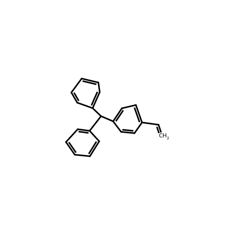 C=Cc1ccc([C](c2ccccc2)c2ccccc2)cc1